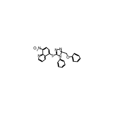 O=[N+]([O-])c1ccc(Sc2nnc(COc3ccccc3)n2-c2ccccc2)c2cccnc12